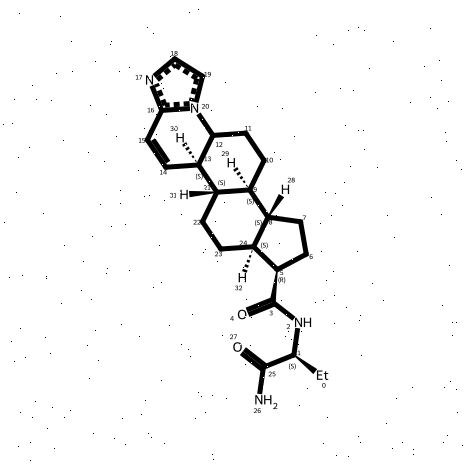 CC[C@H](NC(=O)[C@@H]1CC[C@H]2[C@@H]3CCC4[C@H](C=Cc5nccn54)[C@H]3CC[C@@H]21)C(N)=O